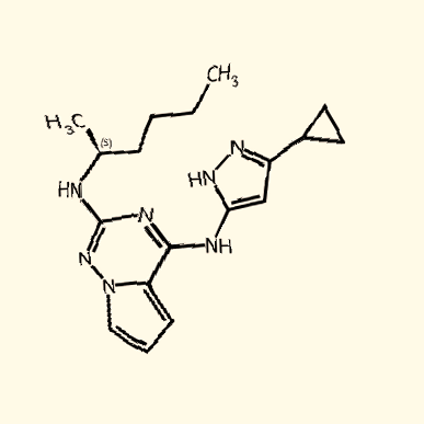 CCCC[C@H](C)Nc1nc(Nc2cc(C3CC3)n[nH]2)c2cccn2n1